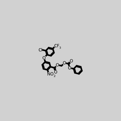 O=C(OCOC(=O)c1cc(Oc2ccc(C(F)(F)F)cc2Cl)ccc1[N+](=O)[O-])Oc1ccccc1